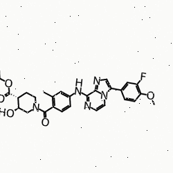 CCOC(=O)[C@@H]1CCN(C(=O)c2ccc(Nc3nccn4c(-c5ccc(OC)c(F)c5)cnc34)cc2C)C[C@H]1O